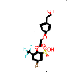 O=C(COc1ccc(CCO)cc1)Oc1c(C(F)(F)F)cc(Br)cc1S(=O)(=O)O